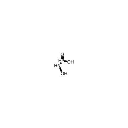 O=[PH](O)NO